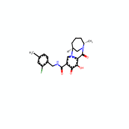 Cc1ccc(CNC(=O)c2cn3c(c(O)c2=O)C(=O)N2C[C@@H]3CCC[C@@H]2C)c(F)c1